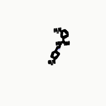 N=C(N/C=C/c1ccc([N+](=O)[O-])cc1)c1cccc(N)c1